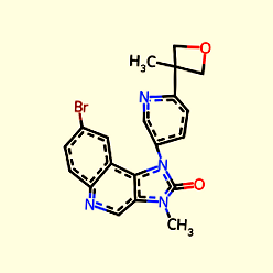 Cn1c(=O)n(-c2ccc(C3(C)COC3)nc2)c2c3cc(Br)ccc3ncc21